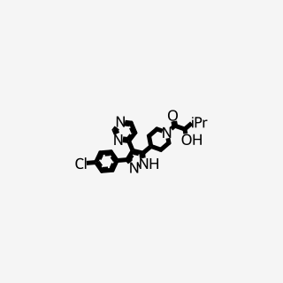 CC(C)C(O)C(=O)N1CCC(c2[nH]nc(-c3ccc(Cl)cc3)c2-c2ccncn2)CC1